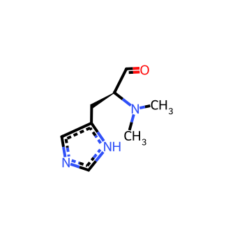 CN(C)[C@H](C=O)Cc1cnc[nH]1